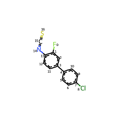 Fc1cc(-c2ccc(Cl)cc2)ccc1N=C=S